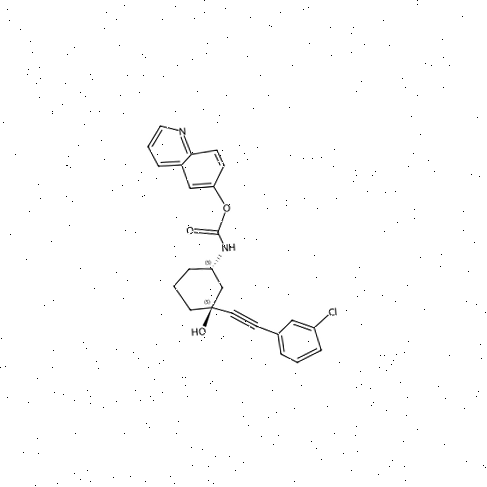 O=C(N[C@H]1CCC[C@@](O)(C#Cc2cccc(Cl)c2)C1)Oc1ccc2ncccc2c1